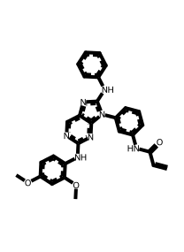 C=CC(=O)Nc1cccc(-n2c(Nc3ccccc3)nc3cnc(Nc4ccc(OC)cc4OC)nc32)c1